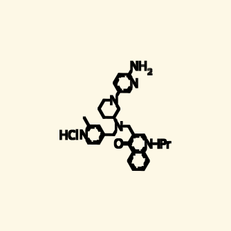 Cc1cc(CN(Cc2cn(C(C)C)c3ccccc3c2=O)[C@H]2CCCN(c3ccc(N)nc3)C2)ccn1.Cl